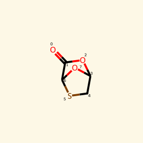 O=C1OC2CSC1O2